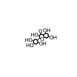 O=c1c(O)c(-c2cc(O)c(O)cc2O)oc2cc(O)cc(O)c12